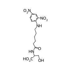 O=C(CCCCCNc1ccc([N+](=O)[O-])cc1[N+](=O)[O-])NC(CO)C(=O)O